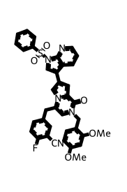 COc1ccc(Cn2cc(Cc3ccc(F)c(C#N)c3)n3cc(-c4cn(S(=O)(=O)c5ccccc5)c5ncccc45)cc3c2=O)c(OC)c1